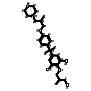 CC(CCl)COc1c(Cl)cc(C(C)(C)c2ccc(OCC(C)CN3CCOCC3)cc2)cc1Cl